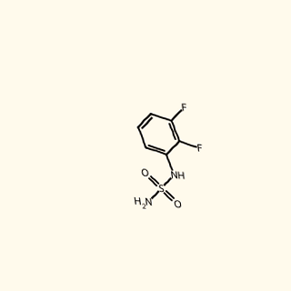 NS(=O)(=O)Nc1cccc(F)c1F